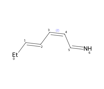 CCC=C/C=C\C=N